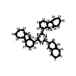 c1ccc2cc(-c3nc(-c4cccc5c4sc4ccccc45)nc(-c4cccc5c4sc4ccccc45)n3)ccc2c1